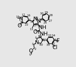 COCCN1C[C@@H](NC(=O)Nc2c(C)c(-c3ccn(C)c(=O)c3)nn2-c2ccccc2)[C@H](c2ccc(F)c(Cl)c2)C1